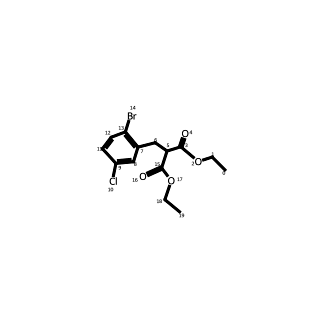 CCOC(=O)C(Cc1cc(Cl)ccc1Br)C(=O)OCC